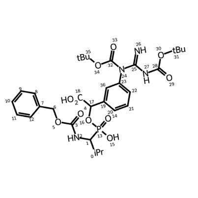 CC(C)C(NC(=O)OCc1ccccc1)P(=O)(O)OC(C(=O)O)c1cccc(N(C(=N)NC(=O)OC(C)(C)C)C(=O)OC(C)(C)C)c1